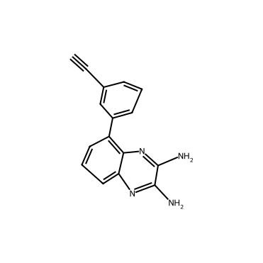 C#Cc1cccc(-c2cccc3nc(N)c(N)nc23)c1